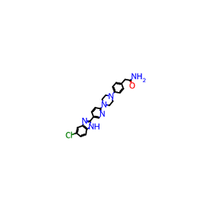 NC(=O)Cc1ccc(N2CCN(c3ccc(-c4nc5cc(Cl)ccc5[nH]4)cn3)CC2)cc1